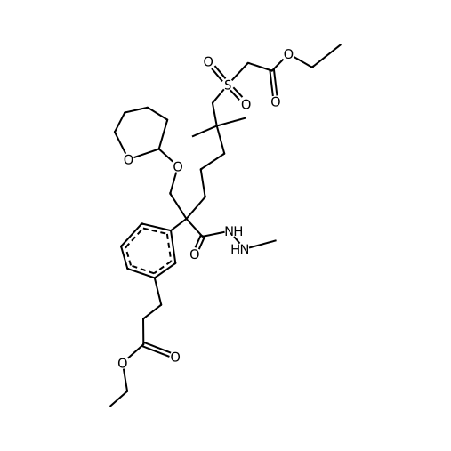 CCOC(=O)CCc1cccc(C(CCCC(C)(C)CS(=O)(=O)CC(=O)OCC)(COC2CCCCO2)C(=O)NNC)c1